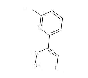 Cc1cccc(/C(=C/N)NN)n1